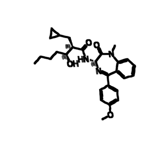 CCCC[C@H](O)[C@@H](CC1CC1)C(=O)N[C@H]1N=C(c2ccc(OC)cc2)c2ccccc2N(C)C1=O